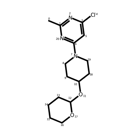 Cc1nc(Cl)cc(N2CCC(OC3CCCCO3)CC2)n1